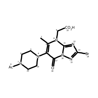 CC(=O)N1CCN(c2c(C)n(CC(=O)O)c3nc(Br)nn3c2=O)CC1